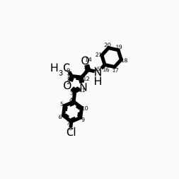 Cc1oc(-c2ccc(Cl)cc2)nc1C(=O)NC1CCCCC1